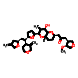 C=C1CO[C@@H](CC([C@@H]2CC[C@@H](C3O[C@H]4CC[C@H](CC(=O)C[C@H]5COC[C@@H]5OC)OC4[C@H](O)C3C)O2)[C@@H]2CCOCC2=C)C1